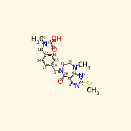 CSc1ncc2c(n1)N(C)CCN(Cc1ccc(CN(C)C(=O)O)cc1)C2=O